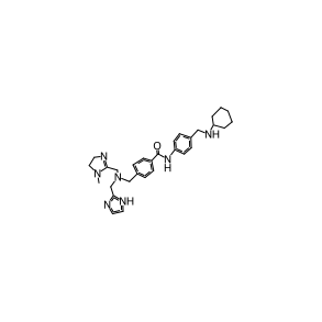 CN1CCN=C1CN(Cc1ccc(C(=O)Nc2ccc(CNC3CCCCC3)cc2)cc1)Cc1ncc[nH]1